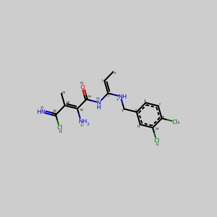 C/C=C(\NCc1ccc(Cl)c(Cl)c1)NC(=O)/C(N)=C(\C)C(=N)Cl